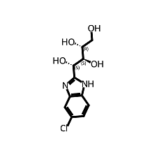 OC[C@@H](O)[C@@H](O)[C@@H](O)c1nc2cc(Cl)ccc2[nH]1